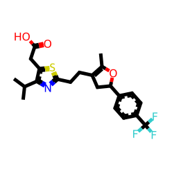 CC1=C(CCc2nc(C(C)C)c(CC(=O)O)s2)CC(c2ccc(C(F)(F)F)cc2)O1